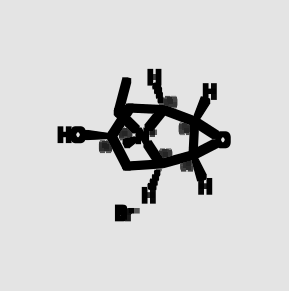 CC[N@@+]1(C)[C@@H]2C[C@@H](O)C[C@H]1[C@@H]1O[C@@H]12.[Br-]